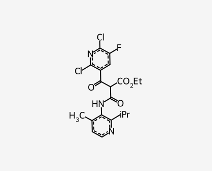 CCOC(=O)C(C(=O)Nc1c(C)ccnc1C(C)C)C(=O)c1cc(F)c(Cl)nc1Cl